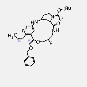 C/C=C\c1ncc2cc1/C(=C/OCc1ccccc1)OCC(F)CNC(=O)C1CC(CCN1C(=O)OC(C)(C)C)N2